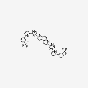 FC(F)(F)c1cccc(C2=NC(c3nnc(-c4ccc5c(ccc6nc(-c7nnc(-c8cccc(-c9cccc(C(F)(F)F)c9)n8)s7)ccc65)n4)s3)CC=C2)c1